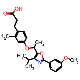 COc1cccc(-c2nc(C(C)C)c(C(C)Oc3ccc(CCC(=O)O)c(C)c3)o2)c1